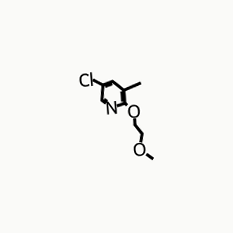 COCCOc1ncc(Cl)cc1C